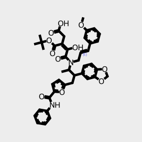 COc1cccc(/C=C/CN(C(=O)C(O)=C(CC(=O)O)C(=O)OC(C)(C)C)C(C)C(Cc2ccc(C(=O)Nc3ccccc3)o2)c2ccc3c(c2)OCO3)c1